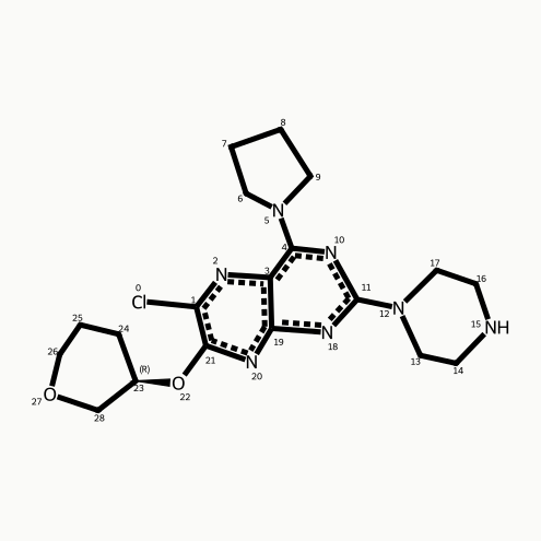 Clc1nc2c(N3CCCC3)nc(N3CCNCC3)nc2nc1O[C@@H]1CCCOC1